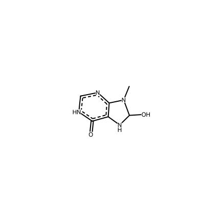 CN1c2nc[nH]c(=O)c2NC1O